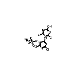 O=S(=O)([O-])[O-].Oc1nc(Cl)nc(Cl)n1.Oc1nc(Cl)nc(Cl)n1.[Na+].[Na+]